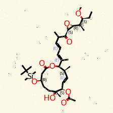 CC[C@H](OC)[C@@H](C)[C@H]1O[C@@H]1C(=O)C(C)/C=C/C=C(\C)C1OC(=O)C[C@H](O[Si](C)(C)C(C)(C)C)CC[C@@](C)(O)[C@@H](OC(C)=O)/C=C/[C@@H]1C